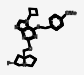 COc1ccc(CSc2nc(OC[C@@]34CCCN3C[C@H](F)C4)nc3ncn(C4CCC4)c23)cc1